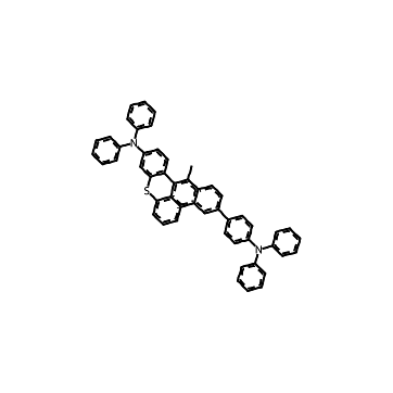 Cc1c2c3c(cccc3c3cc(-c4ccc(N(c5ccccc5)c5ccccc5)cc4)ccc13)Sc1cc(N(c3ccccc3)c3ccccc3)ccc1-2